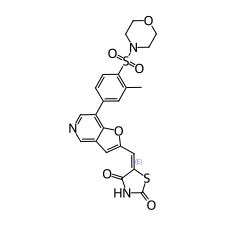 Cc1cc(-c2cncc3cc(/C=C4/SC(=O)NC4=O)oc23)ccc1S(=O)(=O)N1CCOCC1